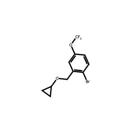 FC(F)(F)Oc1ccc(Br)c(COC2CC2)c1